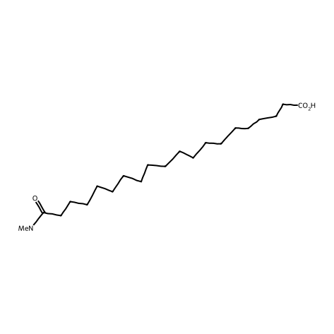 CNC(=O)CCCCCCCCCCCCCCCCCCC(=O)O